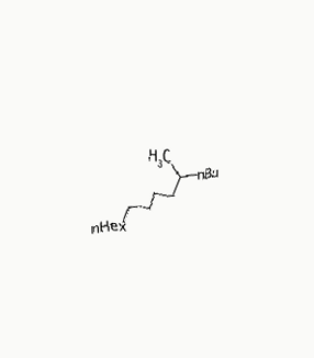 CCCCCCCCCCC(C)CCCC